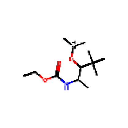 CCOC(=O)NC(C)C(O[SiH](C)C)C(C)(C)C